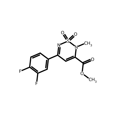 COC(=O)C1=CC(c2ccc(F)c(F)c2)=NS(=O)(=O)N1C